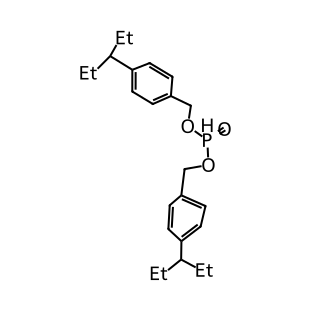 CCC(CC)c1ccc(CO[PH](=O)OCc2ccc(C(CC)CC)cc2)cc1